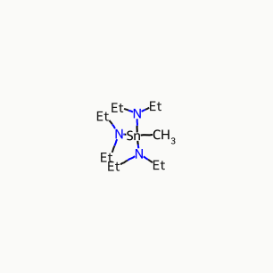 CC[N](CC)[Sn]([CH3])([N](CC)CC)[N](CC)CC